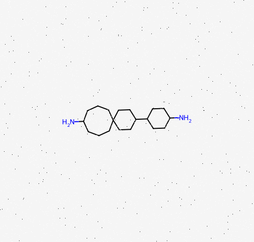 NC1CCCC2(CCC1)CCC(C1CCC(N)CC1)CC2